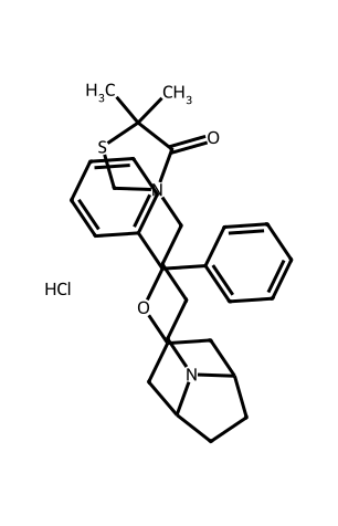 CC1(C)SCN(CCCCN2C3CCC2CC(OC(c2ccccc2)c2ccccc2)C3)C1=O.Cl